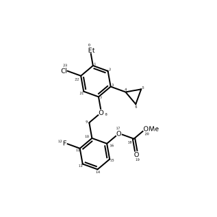 CCc1cc(C2CC2)c(OCc2c(F)cccc2OC(=O)OC)cc1Cl